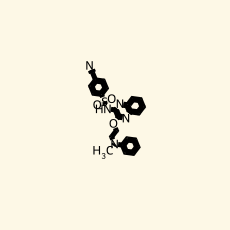 CN(CCOc1nc2ccccc2nc1NS(=O)(=O)c1ccc(C#N)cc1)c1ccccc1